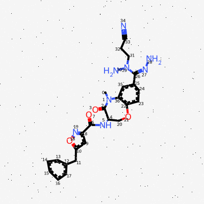 CN1C(=O)[C@@H](NC(=O)c2cc(Cc3ccccc3)on2)COc2ccc(/C(=N/N)N(N)CCC#N)cc21